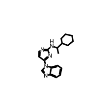 CC(Nc1nccc(-n2cnc3ccccc32)n1)C1CCCCC1